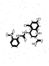 O=C(Nc1ccccc1[N+](=O)[O-])N[C@@H]1C[C@@H](C(=O)O)Nc2cc(Cl)cc(Cl)c21